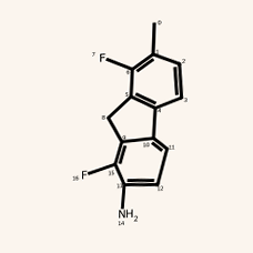 Cc1ccc2c(c1F)Cc1c-2ccc(N)c1F